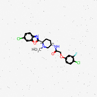 O=C(COc1ccc(Cl)c(F)c1)N[C@H]1CC[C@H](c2nc3ccc(Cl)cc3o2)N(C(=O)O)C1